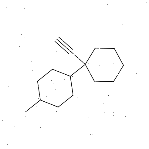 C#CC1([C]2CCC(C)CC2)CCCCC1